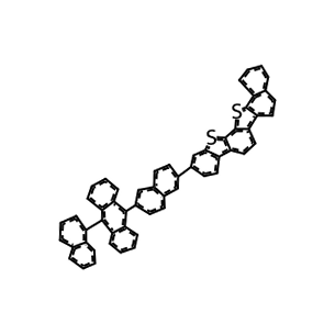 c1ccc2c(-c3c4ccccc4c(-c4ccc5cc(-c6ccc7c(c6)sc6c7ccc7c8ccc9ccccc9c8sc76)ccc5c4)c4ccccc34)cccc2c1